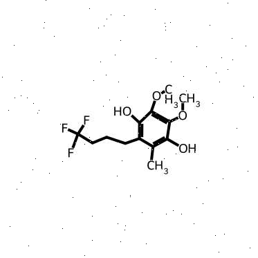 COc1c(O)c(C)c(CCCC(F)(F)F)c(O)c1OC